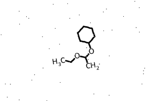 [CH2]C(OCC)OC1CCCCC1